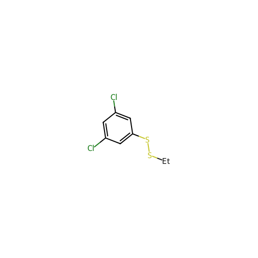 CCSSc1cc(Cl)cc(Cl)c1